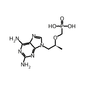 C[C@@H](Cn1cnc2c(N)nc(N)nc21)OCP(=O)(O)O